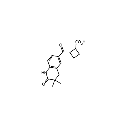 CC1(C)Cc2cc(C(=O)[C@H]3CC[C@H]3C(=O)O)ccc2NC1=O